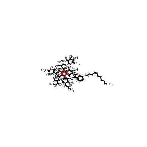 CCCCCC/C=C\CCCOc1cccc(C(=O)NC(C)[C@@H](OC(CO)[C@@H](O)CO)O[C@@H]2C(CO)O[C@@H](O[C@@H](CO)C(CO)O[C@@H](O[C@@H]3C(CO)O[C@@H](O[C@@H](CO)C(CO[C@@H]4OC(C)[C@@H](O)C(O)C4O)O[C@@H](O)C(C)NC(C)=O)C(NC(C)=O)C3O)C(C)NC(C)=O)C(NC(C)=O)C2O)c1